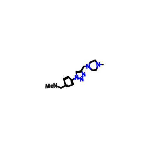 CNCc1ccc(-n2cc(CN3CCN(C)CC3)nn2)cc1